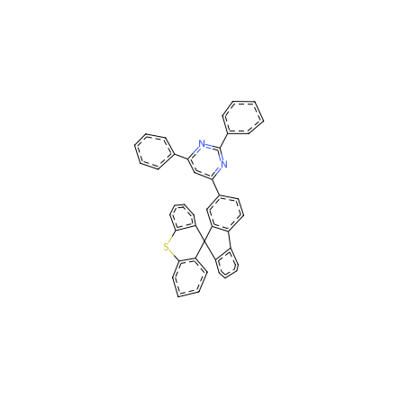 c1ccc(-c2cc(-c3ccc4c(c3)C3(c5ccccc5Sc5ccccc53)c3ccccc3-4)nc(-c3ccccc3)n2)cc1